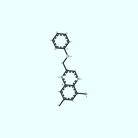 Cc1cc(Br)c2ncc(COc3ccccc3)nc2c1